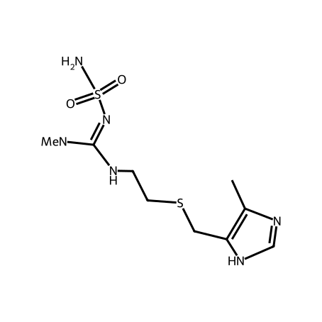 CNC(=NS(N)(=O)=O)NCCSCc1[nH]cnc1C